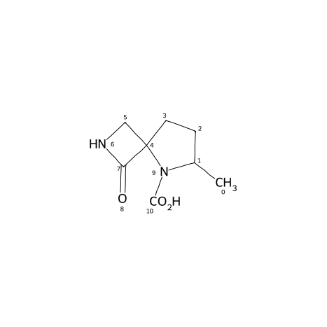 CC1CCC2(CNC2=O)N1C(=O)O